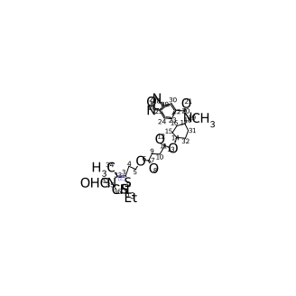 CCSS/C(CCOC(=O)CCC(=O)O[C@H]1CC[C@H](N(C)C(=O)c2ccc3nonc3c2)CC1)=C(/C)N(C)C=O